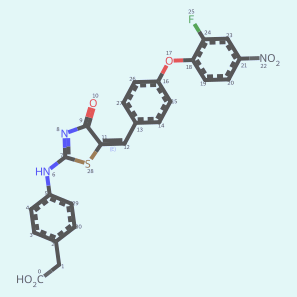 O=C(O)Cc1ccc(NC2=NC(=O)/C(=C\c3ccc(Oc4ccc([N+](=O)[O-])cc4F)cc3)S2)cc1